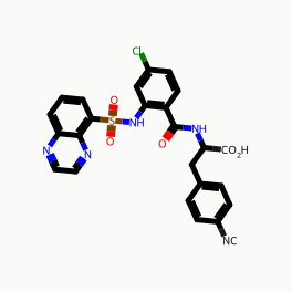 [C-]#[N+]c1ccc(CC(NC(=O)c2ccc(Cl)cc2NS(=O)(=O)c2cccc3nccnc23)C(=O)O)cc1